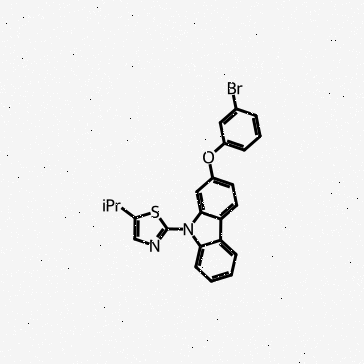 CC(C)c1cnc(-n2c3ccccc3c3ccc(Oc4cccc(Br)c4)cc32)s1